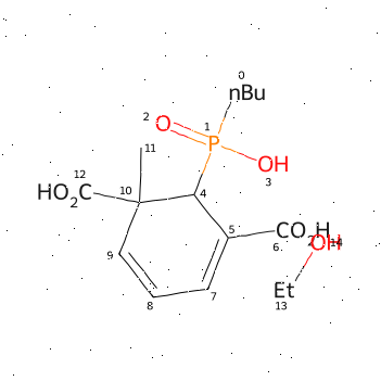 CCCCP(=O)(O)C1C(C(=O)O)=CC=CC1(C)C(=O)O.CCO